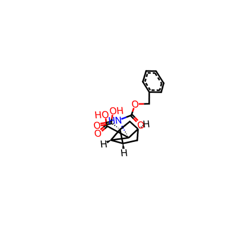 O=C(N[C@]1(C(=O)O)[C@@H]2C[C@@H]3[C@@H]1[C@@]3(C(=O)O)C2)OCc1ccccc1